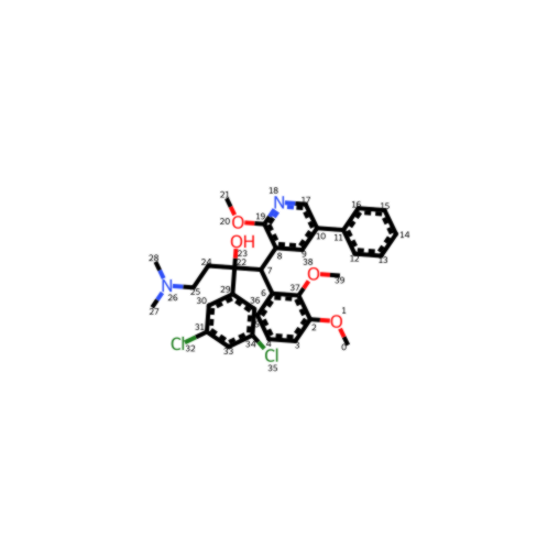 COc1cccc(C(c2cc(-c3ccccc3)cnc2OC)C(O)(CCN(C)C)c2cc(Cl)cc(Cl)c2)c1OC